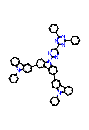 c1ccc(-c2nc(-c3ccccc3)nc(-c3cnc(-n4c5ccc(-c6ccc7c(c6)c6ccccc6n7-c6ccccc6)cc5c5cc(-c6ccc7c(c6)c6ccccc6n7-c6ccccc6)ccc54)nc3)n2)cc1